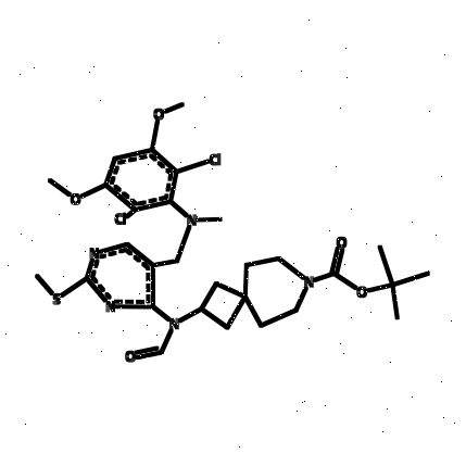 COc1cc(OC)c(Cl)c(N(C)Cc2cnc(SC)nc2N(C=O)C2CC3(CCN(C(=O)OC(C)(C)C)CC3)C2)c1Cl